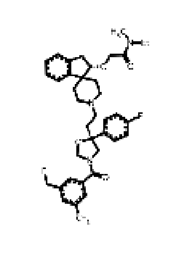 CCN(C)C(=O)CO[C@H]1Cc2ccccc2C12CCN(CC[C@@]1(c3ccc(F)cc3)CN(C(=O)c3cc(CF)cc(C(F)(F)F)c3)CO1)CC2